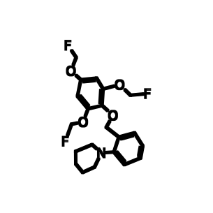 FCOc1cc(OCF)c(OCc2ccccc2N2CCCCC2)c(OCF)c1